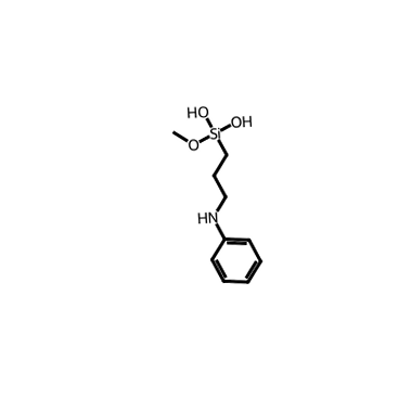 CO[Si](O)(O)CCCNc1ccccc1